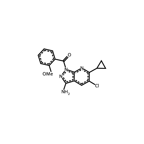 COc1ccccc1C(=O)n1nc(N)c2cc(Cl)c(C3CC3)nc21